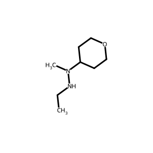 CCNN(C)C1CCOCC1